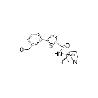 O=Cc1cccc(-c2ccc(C(=O)N[C@H]3CN4CCC3CC4)s2)c1